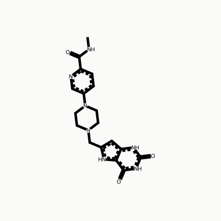 CNC(=O)c1ccc(N2CCN(Cc3cc4[nH]c(=O)[nH]c(=O)c4[nH]3)CC2)cn1